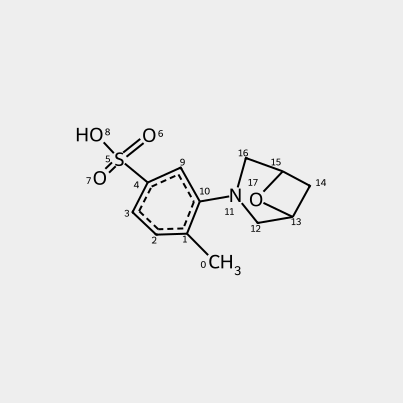 Cc1ccc(S(=O)(=O)O)cc1N1CC2CC(C1)O2